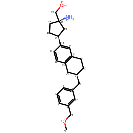 COCc1cccc(C[C@@H]2CCc3cc([C@H]4CC[C@](N)(CO)C4)ccc3C2)c1